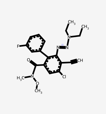 C#Cc1c(Cl)cc(C(=O)N(C)OC)c(-c2cccc(F)c2)c1/N=N/N(CC)CC